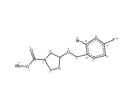 CC(C)(C)OC(=O)N1CCC(OCc2ccc(F)cc2Br)C1